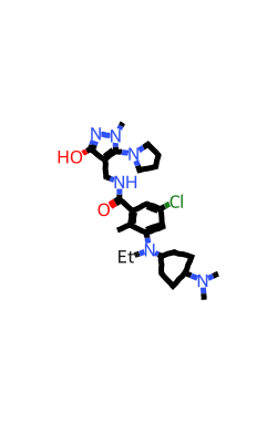 CCN(c1cc(Cl)cc(C(=O)NCc2c(O)nn(C)c2N2CCCC2)c1C)C1CCC(N(C)C)CC1